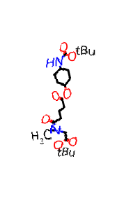 CN(CC(=O)OC(C)(C)C)C(=O)CCCC(=O)OC1CCC(NC(=O)OC(C)(C)C)CC1